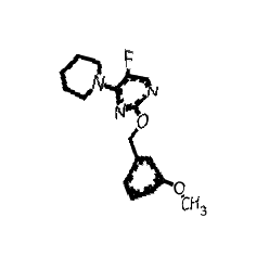 COc1cccc(COc2ncc(F)c(N3CCCCC3)n2)c1